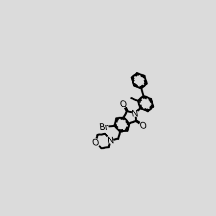 Cc1c(-c2ccccc2)cccc1N1C(=O)c2cc(Br)c(CN3CCOCC3)cc2C1=O